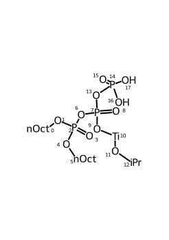 CCCCCCCCOP(=O)(OCCCCCCCC)OP(=O)([O][Ti][O]C(C)C)OP(=O)(O)O